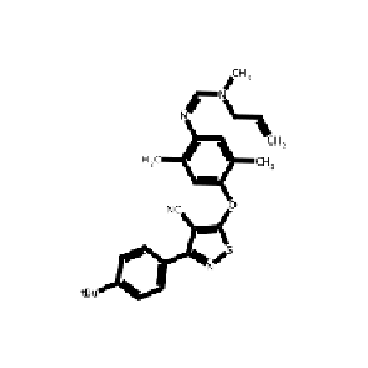 C=CCN(C)/C=N\c1cc(C)c(Oc2snc(-c3ccc(C(C)(C)C)cc3)c2C#N)cc1C